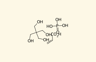 C=CC(=O)O.O=P(O)(O)O.OCC(CO)(CO)CO